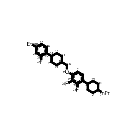 CCCC1CCC(c2ccc(OCC3CCC(c4ccc(CC)cc4F)CC3)c(F)c2F)CC1